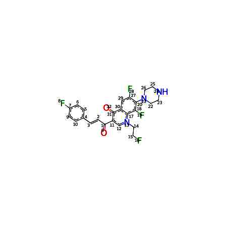 O=C(C=Cc1ccc(F)cc1)c1cn(CCF)c2c(F)c(N3CCNCC3)c(F)cc2c1=O